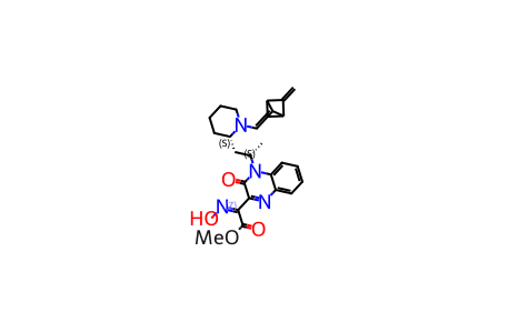 C=C1C2CC1C2=CN1CCCC[C@H]1C[C@H](C)n1c(=O)c(/C(=N/O)C(=O)OC)nc2ccccc21